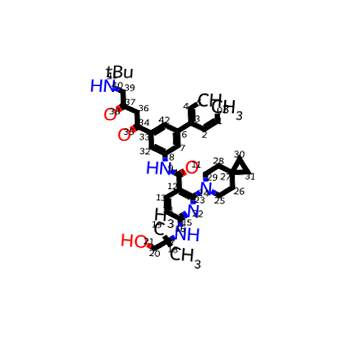 C/C=C\C(=C/C)c1cc(NC(=O)c2ccc(NC(C)(C)CO)nc2N2CCC3(CC2)CC3)cc(C(=O)CC(=O)CNC(C)(C)C)c1